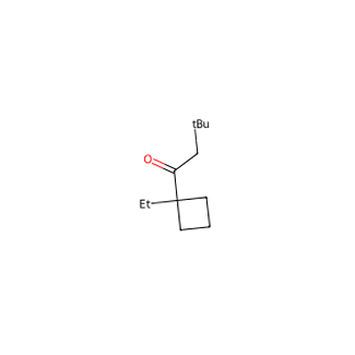 CCC1(C(=O)CC(C)(C)C)CCC1